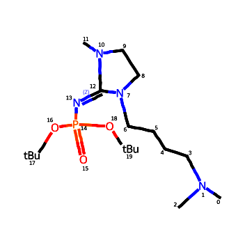 CN(C)CCCCN1CCN(C)/C1=N/P(=O)(OC(C)(C)C)OC(C)(C)C